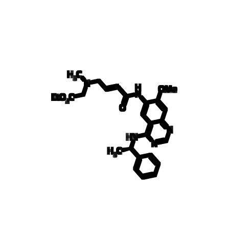 CCOC(=O)CN(C)C/C=C/C(=O)Nc1cc2c(N[C@H](C)c3ccccc3)ncnc2cc1OC